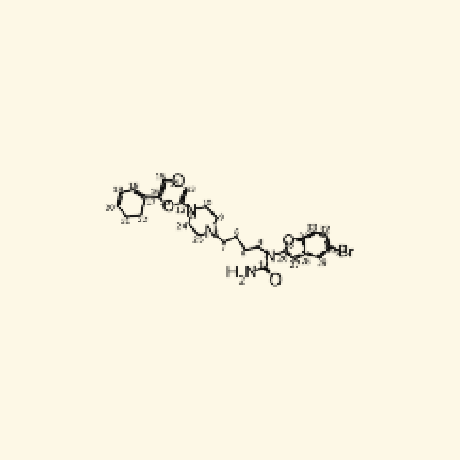 NC(=O)N(CCCCN1CCN(C2=COC=C(C3=CC=CCC3)O2)CC1)c1cc2cc(Br)ccc2o1